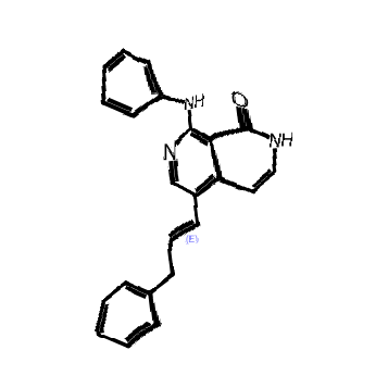 O=c1[nH]ccc2c(/C=C/Cc3ccccc3)cnc(Nc3ccccc3)c12